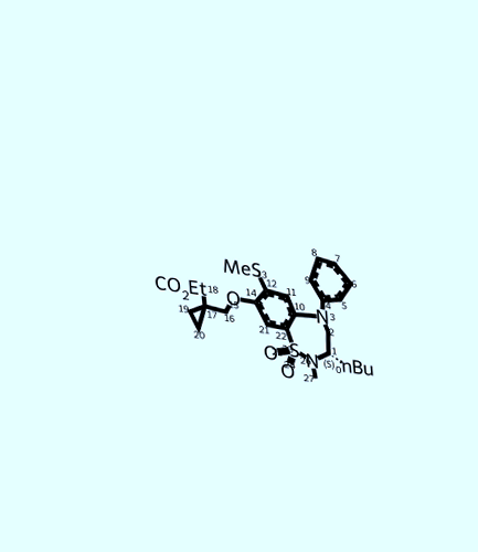 CCCC[C@H]1CN(c2ccccc2)c2cc(SC)c(OCC3(C(=O)OCC)CC3)cc2S(=O)(=O)N1C